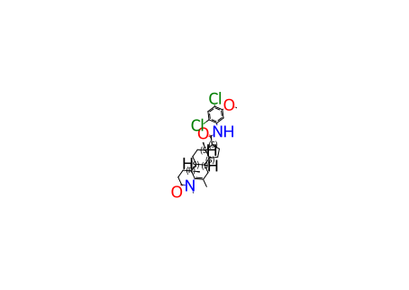 COc1cc(NC(=O)[C@H]2CC[C@H]3[C@@H]4CC(C)=C5N(C)C(=O)CC[C@]5(C)[C@H]4CC[C@]23C)c(Cl)cc1Cl